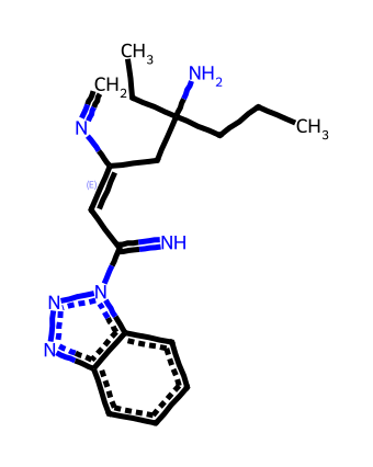 C=N/C(=C/C(=N)n1nnc2ccccc21)CC(N)(CC)CCC